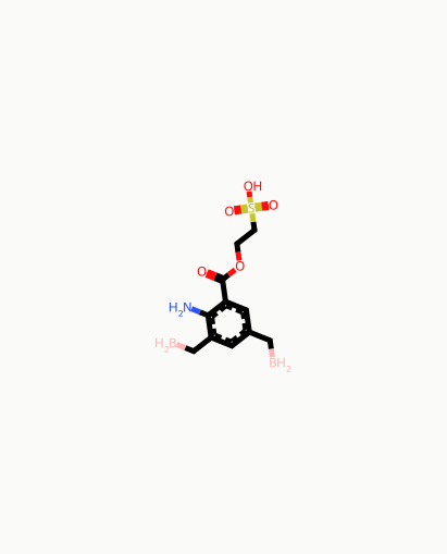 BCc1cc(CB)c(N)c(C(=O)OCCS(=O)(=O)O)c1